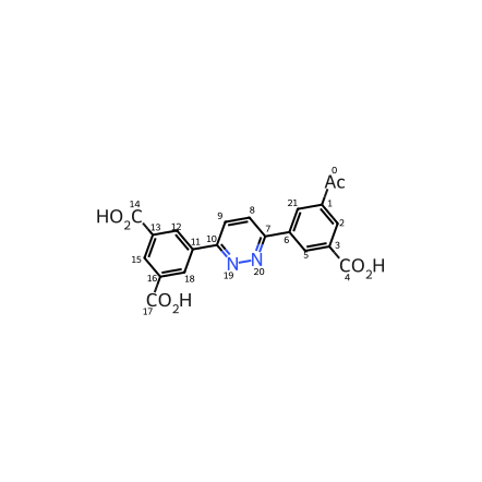 CC(=O)c1cc(C(=O)O)cc(-c2ccc(-c3cc(C(=O)O)cc(C(=O)O)c3)nn2)c1